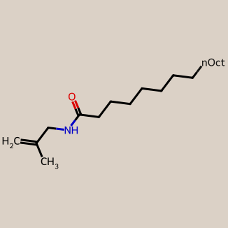 C=C(C)CNC(=O)CCCCCCCCCCCCCCC